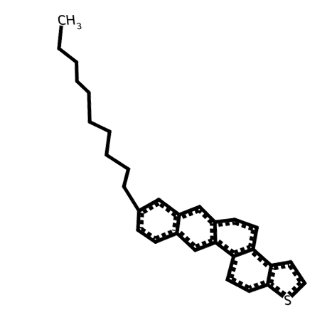 CCCCCCCCCCc1ccc2cc3c(ccc4c5ccsc5ccc34)cc2c1